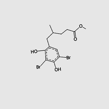 COC(=O)CCC(C)Cc1cc(Br)c(O)c(Br)c1O